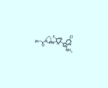 CC(C)CC(=O)N1CCCC(Nc2nc(-c3cn(N)c4ncc(Cl)cc34)ncc2F)C1